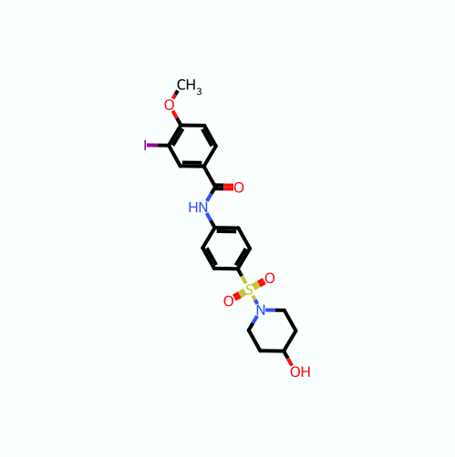 COc1ccc(C(=O)Nc2ccc(S(=O)(=O)N3CCC(O)CC3)cc2)cc1I